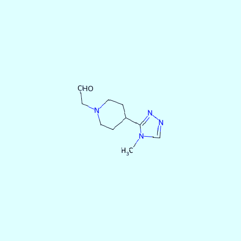 Cn1cnnc1C1CCN(CC=O)CC1